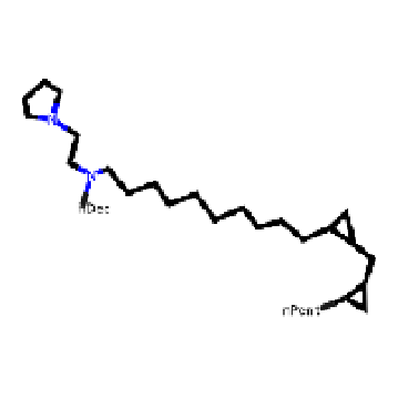 CCCCCCCCCCN(CCCCCCCCCCC1CC1CC1CC1CCCCC)CCN1CCCC1